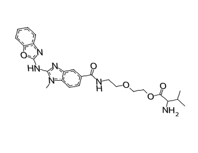 CC(C)C(N)C(=O)OCCOCCNC(=O)c1ccc2c(c1)nc(Nc1nc3ccccc3o1)n2C